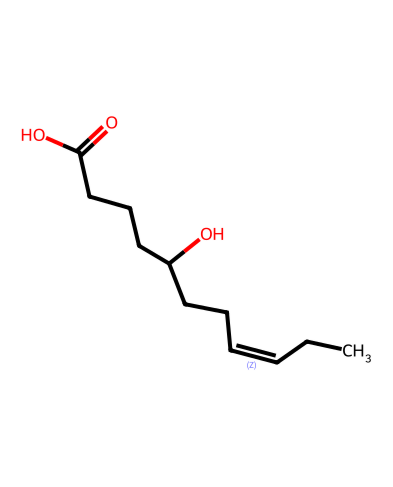 CC/C=C\CCC(O)CCCC(=O)O